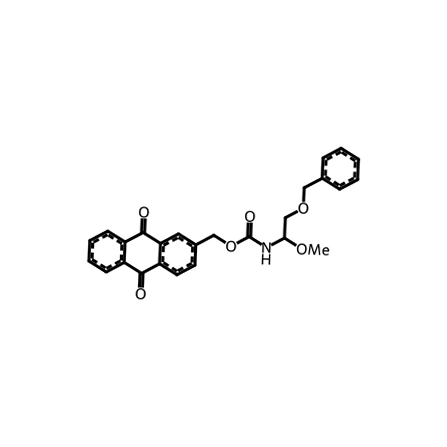 COC(COCc1ccccc1)NC(=O)OCc1ccc2c(c1)C(=O)c1ccccc1C2=O